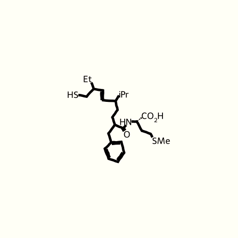 CCC(/C=C/C(CCC(Cc1ccccc1)C(=O)N[C@@H](CCSC)C(=O)O)C(C)C)CS